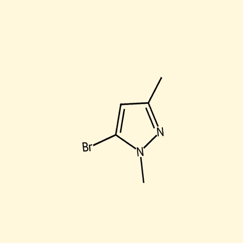 Cc1cc(Br)n(C)n1